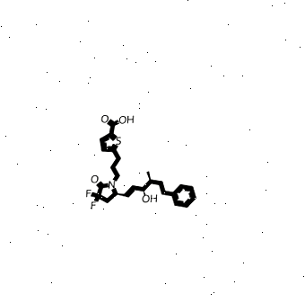 C[C@@H](CCc1ccccc1)[C@H](O)C=C[C@H]1CC(F)(F)C(=O)N1CCCc1ccc(C(=O)O)s1